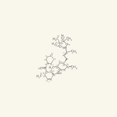 C/C(=C\C[C@@H]1O[C@H](C)[C@H](NC(=O)/C=C\[C@H](C)OC(=O)N2CCOCC2)C[C@@H]1C)B1OC(C)(C)C(C)(C)O1